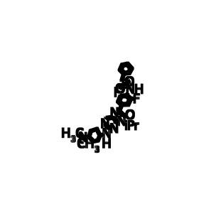 CC(C)n1c(=O)c(-c2cc(F)c(NS(=O)(=O)Cc3ccccc3)c(F)c2)nc2cnc(NC3CCC(N(C)C)CC3)nc21